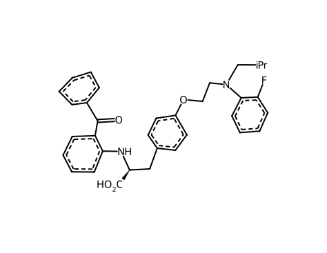 CC(C)CN(CCOc1ccc(C[C@H](Nc2ccccc2C(=O)c2ccccc2)C(=O)O)cc1)c1ccccc1F